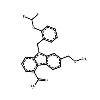 COCc1c[c]c2c3c(C(N)=O)cccc3n(Cc3ccccc3OC(F)F)c2c1